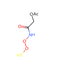 CC(=O)OCC(=O)NOOS